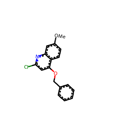 COc1ccc2c(OCc3ccccc3)cc(Cl)nc2c1